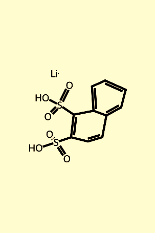 O=S(=O)(O)c1ccc2ccccc2c1S(=O)(=O)O.[Li]